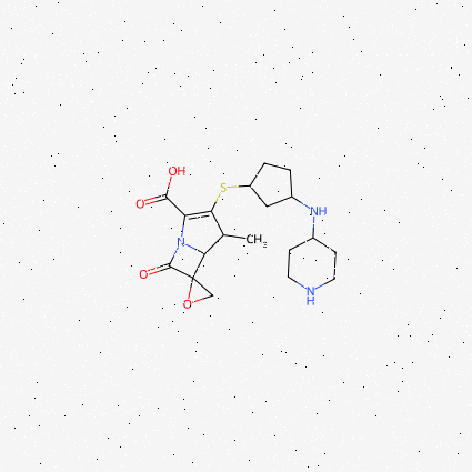 CC1C(SC2CCC(NC3CCNCC3)C2)=C(C(=O)O)N2C(=O)C3(CO3)C12